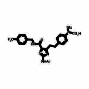 CC(=O)Nc1nc(CCc2ccc(N(C(=O)O)C(C)(C)C)cc2)c(C(=O)NCc2ccc(C(F)(F)F)cc2)s1